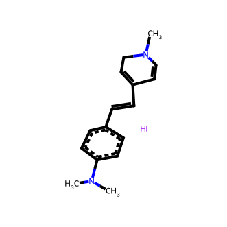 CN1C=CC(C=Cc2ccc(N(C)C)cc2)=CC1.I